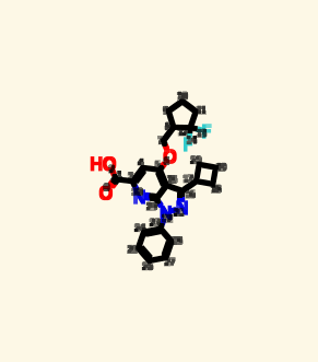 O=C(O)c1cc(OCC2CCCC2(F)F)c2c(C3CCC3)nn(-c3ccccc3)c2n1